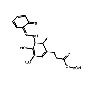 CCCCCCCCOC(=O)CCC1=CC(C(C)(C)C)=C(O)C(N/N=C2/C=CC=CC2=N)C1C